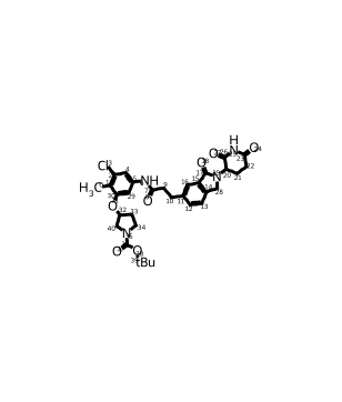 Cc1c(Cl)cc(NC(=O)CCc2ccc3c(c2)C(=O)N(C2CCC(=O)NC2=O)C3)cc1OC1CCN(C(=O)OC(C)(C)C)C1